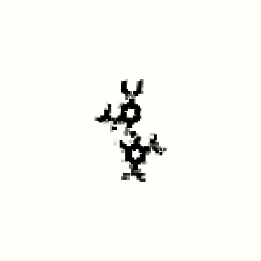 CCN(CC)c1ccc(N=Nc2c(I)cc([N+](=O)[O-])cc2[N+](=O)[O-])c(NC(C)=O)c1